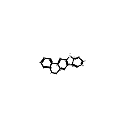 c1ccc2c(c1)CCc1cc3c(cc1-2)sc1ccccc13